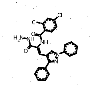 NNC(=O)C(=Cc1cn(-c2ccccc2)nc1-c1ccccc1)NC(=O)c1ccc(Cl)cc1Cl